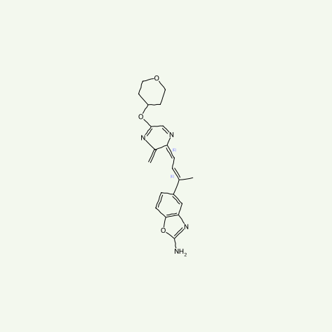 C=c1nc(OC2CCOCC2)cn/c1=C/C=C(\C)c1ccc2oc(N)nc2c1